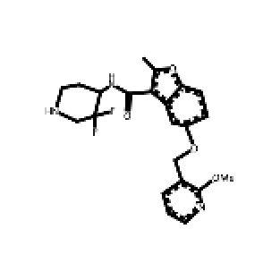 COc1ncccc1COc1ccc2oc(C)c(C(=O)NC3CCNCC3(F)F)c2c1